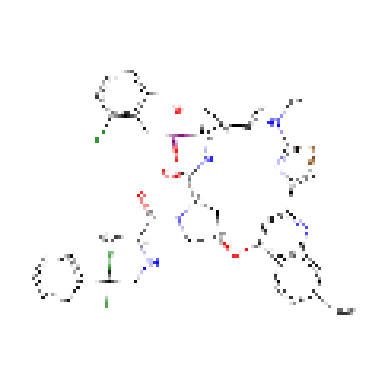 C=C[C@@H]1C[C@]1(NC(=O)[C@@H]1C[C@@H](Oc2cc(-c3csc(NC(C)C)n3)nc3cc(OC)ccc23)CN1C(=O)[C@@H](NCC(F)(F)c1ccccc1)C(C)(C)C)P(=O)(O)Cc1c(F)cccc1F